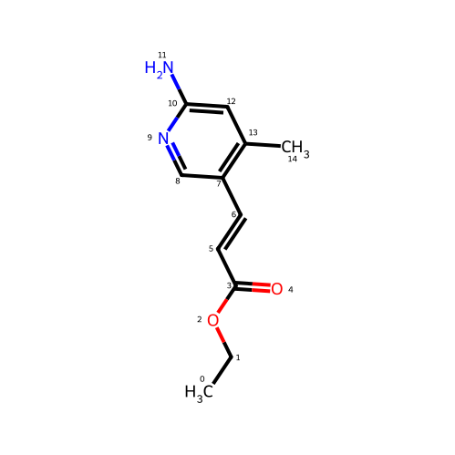 CCOC(=O)/C=C/c1cnc(N)cc1C